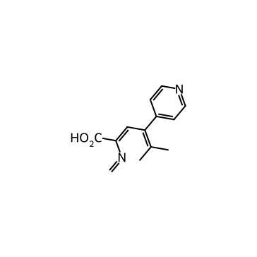 C=N/C(=C\C(=C(C)C)c1ccncc1)C(=O)O